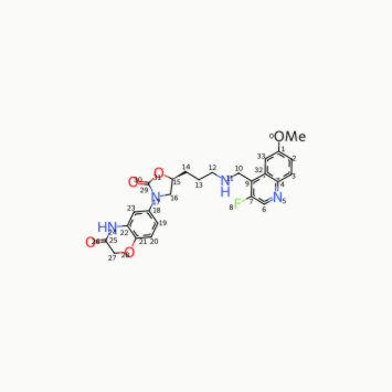 COc1ccc2ncc(F)c(CNCCC[C@H]3CN(c4ccc5c(c4)NC(=O)CO5)C(=O)O3)c2c1